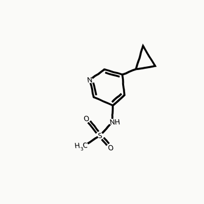 CS(=O)(=O)Nc1cncc(C2CC2)c1